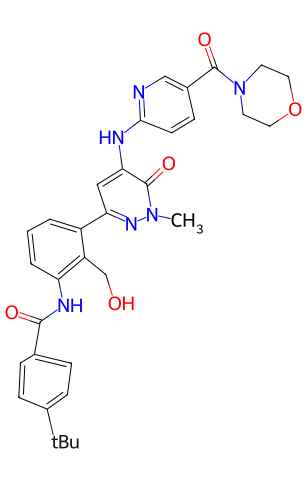 Cn1nc(-c2cccc(NC(=O)c3ccc(C(C)(C)C)cc3)c2CO)cc(Nc2ccc(C(=O)N3CCOCC3)cn2)c1=O